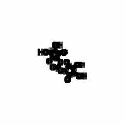 O=C(ON1C(=O)C(O)C(O)C1=O)ON1C(=O)C(O)C(O)C1=O